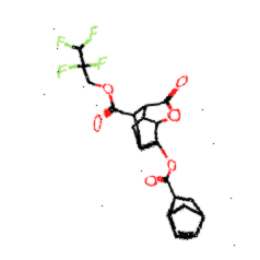 O=C(OC1C2CC3C1OC(=O)C3C2C(=O)OCC(F)(F)C(F)F)C1CC2C=CC1C2